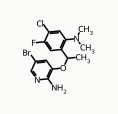 CC(Oc1cc(Br)cnc1N)c1cc(F)c(Cl)cc1N(C)C